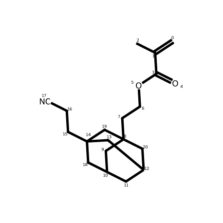 C=C(C)C(=O)OCCC12CC3CC(CC(CCC#N)(C3)C1)C2